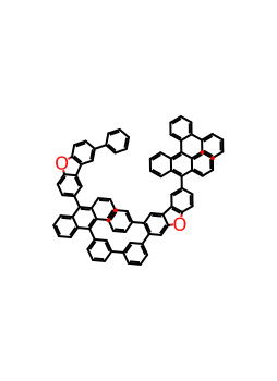 c1ccc(-c2ccc3oc4ccc(-c5c6ccccc6c(-c6cccc(-c7cccc(-c8cc9oc%10ccc(-c%11c%12ccccc%12c(-c%12ccccc%12-c%12ccccc%12)c%12ccccc%11%12)cc%10c9cc8-c8ccccc8)c7)c6)c6ccccc56)cc4c3c2)cc1